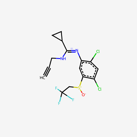 C#CCN/C(=N\c1cc([S+]([O-])CC(F)(F)F)c(Cl)cc1Cl)C1CC1